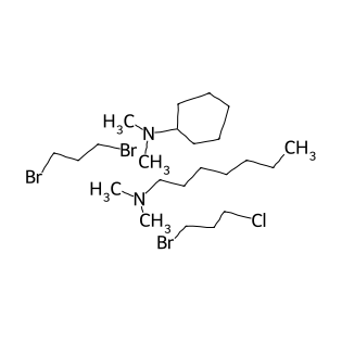 BrCCCBr.CCCCCCCN(C)C.CN(C)C1CCCCC1.ClCCCBr